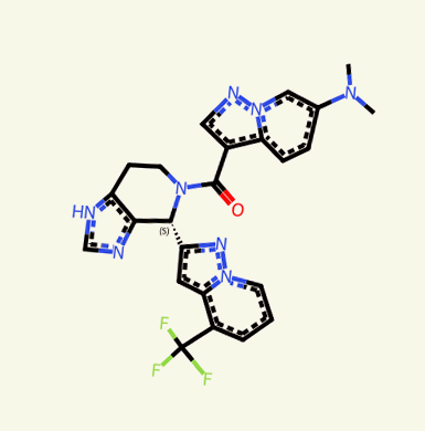 CN(C)c1ccc2c(C(=O)N3CCc4[nH]cnc4[C@H]3c3cc4c(C(F)(F)F)cccn4n3)cnn2c1